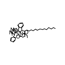 CCCCCCCCCCCCCCC(CCC)C1c2ccccc2C(=O)C1(Sc1nnnn1-c1ccccc1)N1C(=O)CCC1=O